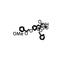 COc1ccccc1C(=O)COc1ccc(CC2(C(=O)OCc3ccccc3)SC(=O)NC2=O)cc1